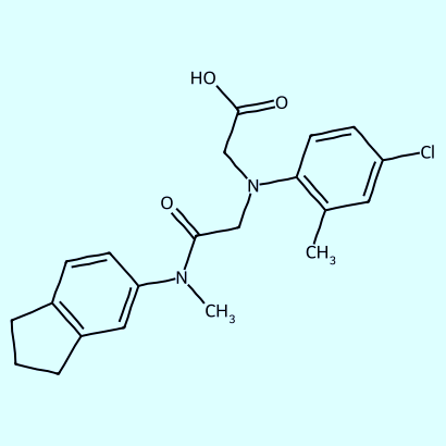 Cc1cc(Cl)ccc1N(CC(=O)O)CC(=O)N(C)c1ccc2c(c1)CCC2